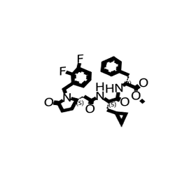 COC(=O)[C@@H](Cc1ccccc1)NC(=O)[C@H](CC1CC1)NC(=O)C[C@@H]1CCC(=O)N1Cc1cccc(F)c1F